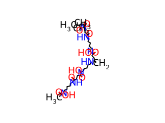 C=C(CCC(=O)N(O)CCCCCNC(=O)CCN1C(=O)CC(C(C)(C)C)C1=O)NCCCCCN(O)C(=O)CCC(=O)NCCCCCN(O)C(C)=O